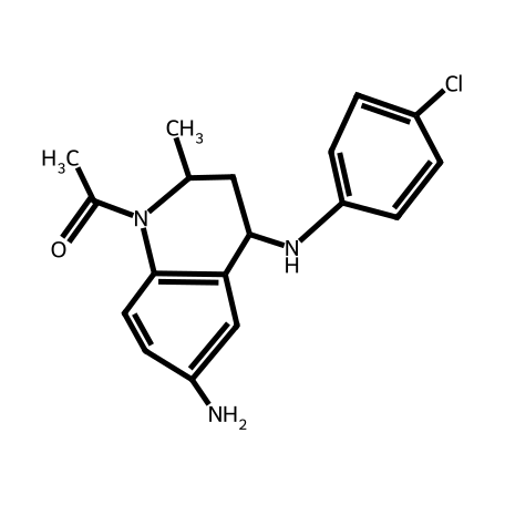 CC(=O)N1c2ccc(N)cc2C(Nc2ccc(Cl)cc2)CC1C